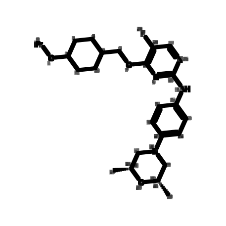 CC(C)OC1CCC(COc2nc(Nc3ccc(N4C[C@@H](C)O[C@@H](C)C4)cc3)ncc2F)CC1